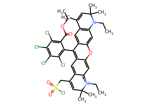 CCOC(=O)c1c(Cl)c(Cl)c(Cl)c(Cl)c1C1=c2cc3c(cc2Oc2cc4c(cc21)C(C)=CC(C)(C)N4CC)=[N+](CC)C(C)(C)C=C3CS(=O)(=O)Cl